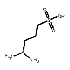 CP(C)CCCS(=O)(=O)O